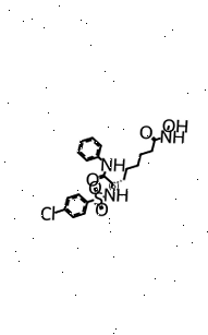 O=C(CCCCC[C@H](NS(=O)(=O)c1ccc(Cl)cc1)C(=O)Nc1ccccc1)NO